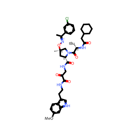 COc1ccc2c(CCNC(=O)C(=O)CNC(=O)[C@@H]3C[C@@](C)(O/N=C(\C)c4cccc(Cl)c4)CN3C(=O)[C@@H](NC(=O)CC3CCCCC3)C(C)(C)C)c[nH]c2c1